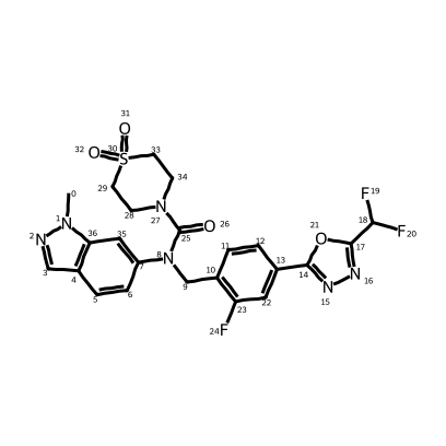 Cn1ncc2ccc(N(Cc3ccc(-c4nnc(C(F)F)o4)cc3F)C(=O)N3CCS(=O)(=O)CC3)cc21